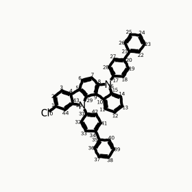 Clc1ccc2c3ccc4c(c5ccccc5n4-c4ccc(-c5ccccc5)cc4)c3n(-c3ccc(-c4ccccc4)cc3)c2c1